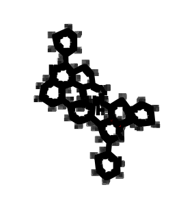 N=C1/C(=N\Nc2ccccc2)C=Cc2c(-c3ccccc3)nc3cccc(-c4ccc(-c5cc(-c6ccccn6)nc(-c6ccccn6)c5)cc4)c3c21